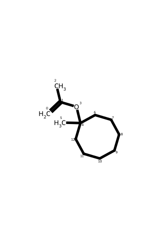 C=C(C)OC1(C)CCCCCCC1